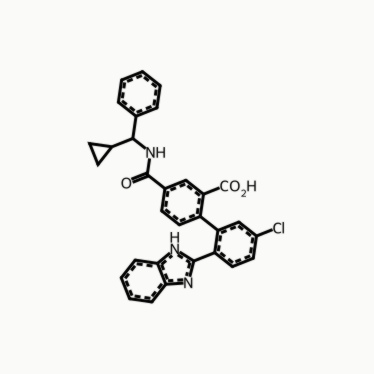 O=C(NC(c1ccccc1)C1CC1)c1ccc(-c2cc(Cl)ccc2-c2nc3ccccc3[nH]2)c(C(=O)O)c1